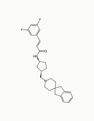 O=C(/C=C/c1cc(F)cc(F)c1)N[C@H]1CC[C@@H](CN2CCC3(CC2)Cc2ccccc2C3)C1